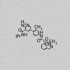 Cc1cc(NC(=O)C(O)c2cccc3cnn(C)c23)ccc1-c1cnc(N)c(C(=O)NC(C)C)c1